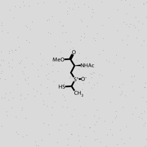 COC(=O)[C@H](C[S+]([O-])C(C)S)NC(C)=O